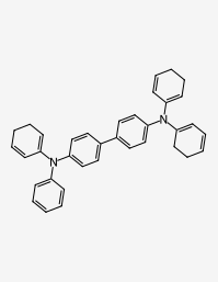 C1=CCCC(N(C2=CCCC=C2)c2ccc(-c3ccc(N(C4=CCCC=C4)c4ccccc4)cc3)cc2)=C1